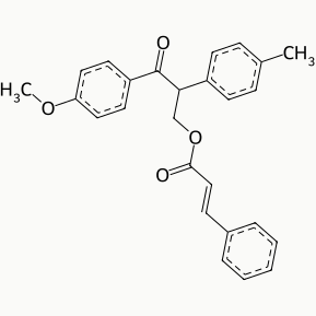 COc1ccc(C(=O)C(COC(=O)/C=C/c2ccccc2)c2ccc(C)cc2)cc1